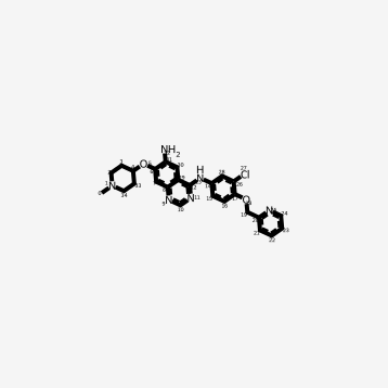 CN1CCC(Oc2cc3ncnc(Nc4ccc(OCc5ccccn5)c(Cl)c4)c3cc2N)CC1